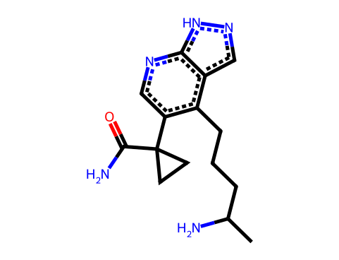 CC(N)CCCc1c(C2(C(N)=O)CC2)cnc2[nH]ncc12